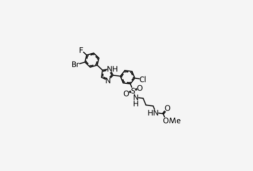 COC(=O)NCCCNS(=O)(=O)c1cc(-c2ncc(-c3ccc(F)c(Br)c3)[nH]2)ccc1Cl